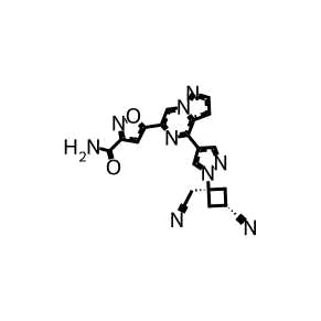 N#CC[C@]1(n2cc(-c3nc(-c4cc(C(N)=O)no4)cn4nccc34)cn2)C[C@H](C#N)C1